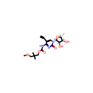 C#Cc1cn([C@@H]2O[C@H](C)[C@@H](O)[C@H]2O)c(=O)nc1NC(=O)OCC(C)(C)COC